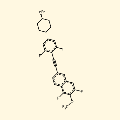 CCC[C@H]1CC[C@H](c2cc(F)c(C#Cc3ccc4c(F)c(OC(F)(F)F)c(F)cc4c3)c(F)c2)CC1